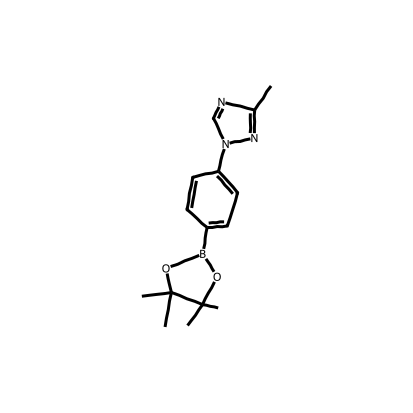 Cc1ncn(-c2ccc(B3OC(C)(C)C(C)(C)O3)cc2)n1